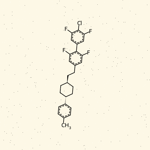 Cc1ccc([C@H]2CC[C@H](CCc3cc(F)c(-c4cc(F)c(Cl)c(F)c4)c(F)c3)CC2)cc1